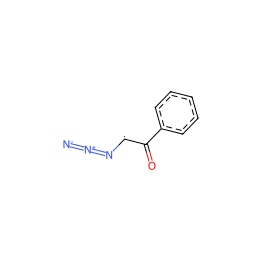 [N-]=[N+]=N[CH]C(=O)c1ccccc1